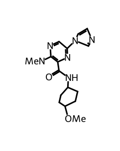 CNc1ncc(-n2ccnc2)nc1C(=O)NC1CCC(OC)CC1